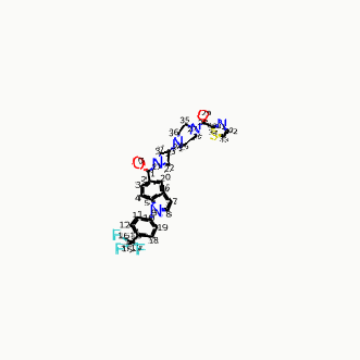 O=C(c1ccc2c(ccn2-c2ccc(C(F)(F)F)cc2)c1)N1CC(N2CCN(C(=O)c3nccs3)CC2)C1